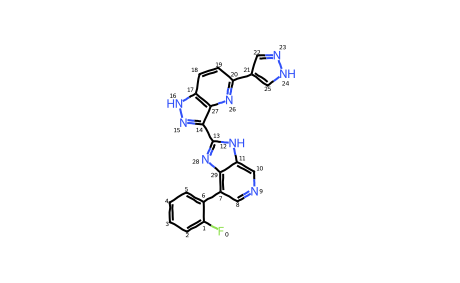 Fc1ccccc1-c1cncc2[nH]c(-c3n[nH]c4ccc(-c5cn[nH]c5)nc34)nc12